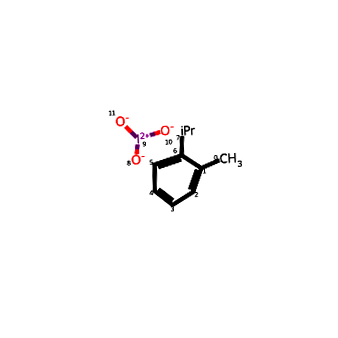 Cc1ccccc1[C+](C)C.[O-][I+2]([O-])[O-]